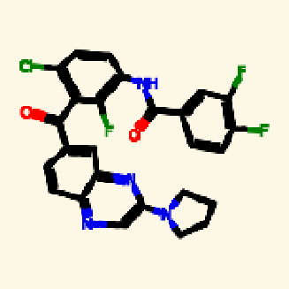 O=C(Nc1ccc(Cl)c(C(=O)c2ccc3ncc(N4CCCC4)nc3c2)c1F)c1ccc(F)c(F)c1